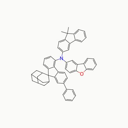 CC1(C)c2ccccc2-c2cc(N(c3ccc4oc5ccccc5c4c3)c3cccc4c3-c3ccc(-c5ccccc5)cc3C43C4CC5CC(C4)CC3C5)ccc21